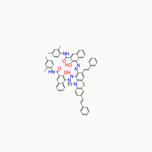 CCN1c2ccc(C=Cc3ccccc3)cc2Sc2cc(C=Cc3ccccc3)c(N=Nc3c(O)c(C(=O)Nc4ccc(C)cc4C)cc4ccccc34)c(N=Nc3c(O)c(C(=O)Nc4ccc(C)cc4C)cc4ccccc34)c21